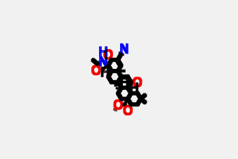 COC(=O)[C@]12CCC(C)(C)C[C@H]1[C@H]1C(=O)C=C3[C@@]4(C)C=C(C#N)C(=O)[C@@](C)(NC(C)=O)[C@@H]4CC[C@@]3(C)[C@]1(C)CC2